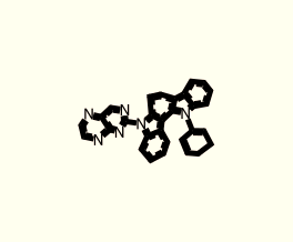 C1=CC(n2c3ccccc3c3ccc4c(c5ccccc5n4-c4ncc5nccnc5n4)c32)=CCC1